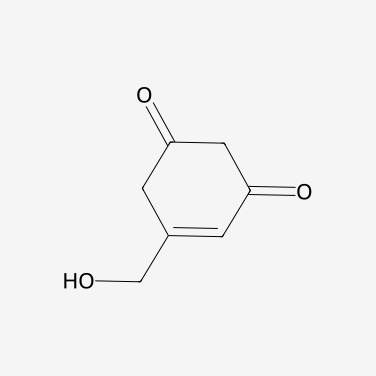 O=C1C=C(CO)CC(=O)C1